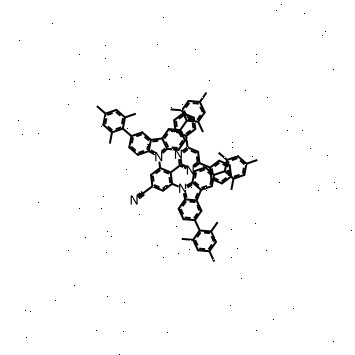 Cc1cc(C)c(-c2ccc3c(c2)c2cc(-c4c(C)cc(C)cc4C)ccc2n3-c2cc(C#N)cc(-n3c4ccc(-c5c(C)cc(C)cc5C)cc4c4cc(-c5c(C)cc(C)cc5C)ccc43)c2-c2nc(-c3ccccc3)cc(-c3ccccc3)n2)c(C)c1